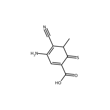 CC1C(=S)C(C(=O)O)=CC(N)=C1C#N